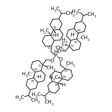 CC(C)C1CC[C@@H]2C(CCC3[C@@](C)(CO[PH](C[C@@]4(C)CCC[C@@]5(C)C4CCC4CC(C(C)C)CC[C@H]45)(OC[C@@]4(C)CCC[C@@]5(C)C4CCC4CC(C(C)C)CC[C@H]45)OC[C@@]4(C)CCC[C@@]5(C)C4CCC4CC(C(C)C)CC[C@H]45)CCC[C@@]32C)C1